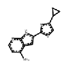 Nc1ccnc2[nH]c(-c3nc(C4CC4)cs3)cc12